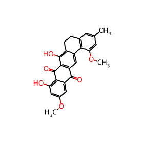 COc1cc(O)c2c(c1)C(=O)c1cc3c(c(O)c1C2=O)CCc1cc(C)cc(OC)c1-3